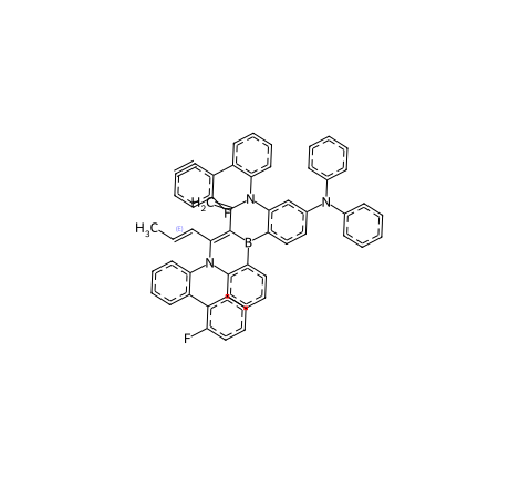 C=C1C2=C(/C=C/C)N(c3ccccc3-c3ccccc3F)c3ccccc3B2c2ccc(N(c3ccccc3)c3ccccc3)cc2N1c1ccccc1-c1c#cccc1F